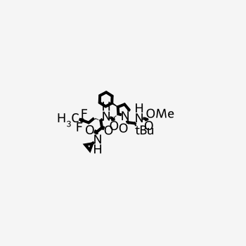 COC(=O)N[C@H](C(=O)N1CC[C@H](C2CCCCC2)[C@H]1C(=O)N[C@@H](CCC(C)(F)F)C(=O)C(=O)NC1CC1)C(C)(C)C